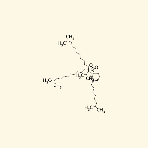 CC(C)CCCCCCCC[CH2][Ti]([CH2]CCCCCCCCC(C)C)([CH2]CCCCCCCCC(C)C)([CH](C)C)[S](=O)(=O)c1ccccc1